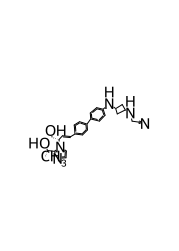 C[C@H](O)c1nccn1[C@@H](/C=C/c1ccc(-c2ccc(NC3CC(NCC#N)C3)cc2)cc1)CO